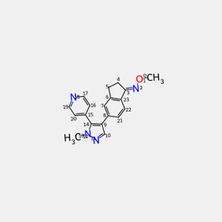 CO/N=C1\CCc2cc(-c3cnn(C)c3-c3ccncc3)ccc21